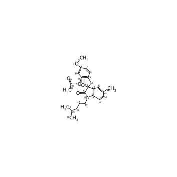 COc1ccc(CC2(O)C(=O)N(CCCC(C)C)c3ccc(C)cc32)c(OC(C)=O)c1